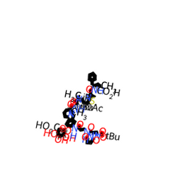 CC[C@H](C)[C@H](NC(=O)[C@H]1CCCC[N+]1(C)Cc1ccc(O[C@@H]2O[C@H](C(=O)O)[C@@H](O)[C@H](O)[C@H]2O)c(NC(=O)CCNC(=O)C(CNC(=O)OC(C)(C)C)N2C(=O)C=CC2=O)c1)C(=O)N(C)[C@H](C[C@@H](OC(C)=O)c1nc(C(=O)N[C@@H](Cc2ccccc2)C[C@H](C)C(=O)O)cs1)C(C)C